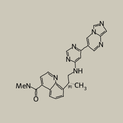 CNC(=O)c1ccnc2c([C@@H](C)CNc3cc(-c4cnc5cncn5c4)ncn3)cccc12